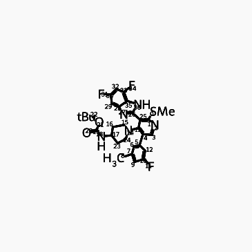 CSc1ncc(-c2cc(C)cc(F)c2)c(N2CCC(NC(=O)OC(C)(C)C)CC2)c1-c1nc2cc(F)cc(F)c2[nH]1